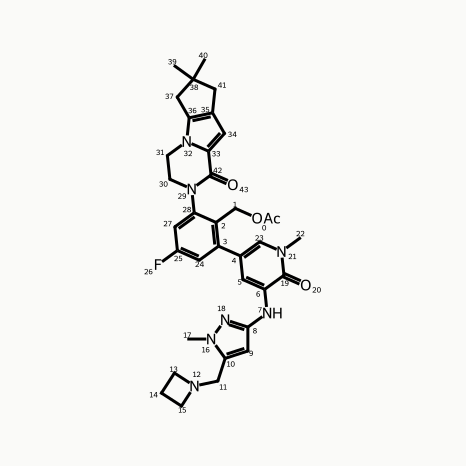 CC(=O)OCc1c(-c2cc(Nc3cc(CN4CCC4)n(C)n3)c(=O)n(C)c2)cc(F)cc1N1CCn2c(cc3c2CC(C)(C)C3)C1=O